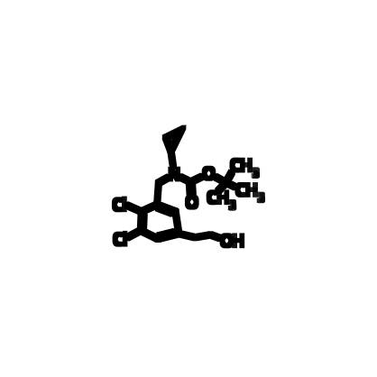 CC(C)(C)OC(=O)N(Cc1cc(CCO)cc(Cl)c1Cl)C1CC1